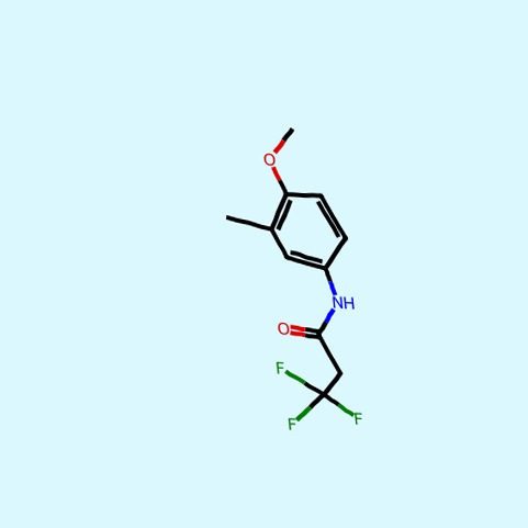 COc1ccc(NC(=O)CC(F)(F)F)cc1C